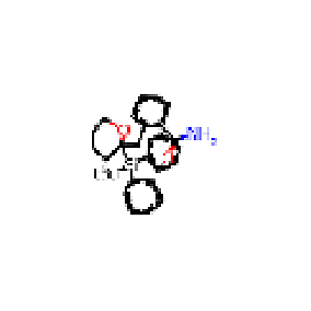 CC(C)(C)[Si](c1ccccc1)(c1ccccc1)C1(Cc2ccccc2C(N)=O)CCCCO1